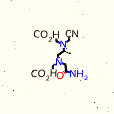 C[C@@H](CN(CC(N)=O)CC(=O)O)N(CC#N)CC(=O)O